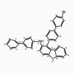 Brc1ccc(-c2ccc(-c3c(Nc4ccc(-c5ccccc5)cc4)ccc4sc5ccccc5c34)cc2)cc1